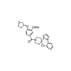 COc1cc(C(=O)N2CCC3(CC2)Oc2ccccc2-n2cccc23)ccc1O[C@H]1CCOC1